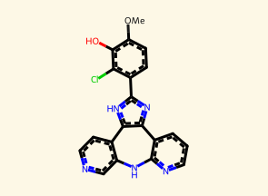 COc1ccc(-c2nc3c([nH]2)-c2ccncc2Nc2ncccc2-3)c(Cl)c1O